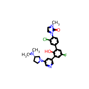 CN(C)[C@H]1CCN(c2cncc(-c3cc(F)cc(-c4ccc(-n5ccn(C)c5=O)c(Cl)c4)c3O)c2)C1